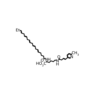 CCC=CCC=CCC=CCC=CCC=CCCCC(=O)NC(CCCCNC(=O)CC=Cc1ccc(C)nc1)C(=O)O